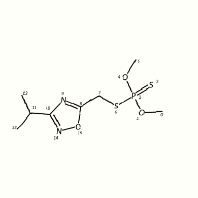 COP(=S)(OC)SCc1nc(C(C)C)no1